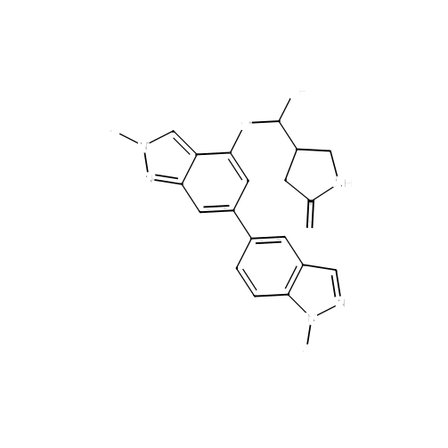 CC(Oc1cc(-c2ccc3c(cnn3C)c2)cc2nn(C)cc12)C1CNC(=O)C1